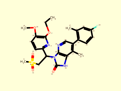 CCOc1nc(C(CS(C)(=O)=O)n2c(=O)[nH]c3c(C)c(-c4ccc(F)cc4C)cnc32)ccc1OC